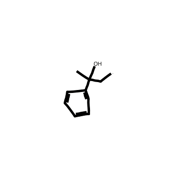 [CH2]CC(C)(O)c1ccccc1